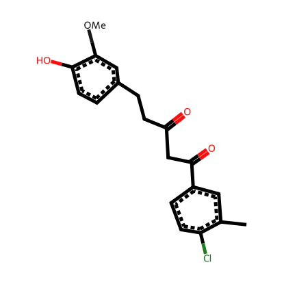 COc1cc(CCC(=O)CC(=O)c2ccc(Cl)c(C)c2)ccc1O